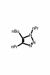 CCCCc1c(CCC)nnn1CCC